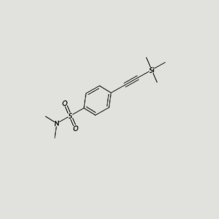 CN(C)S(=O)(=O)c1ccc(C#C[Si](C)(C)C)cc1